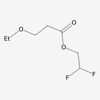 CCOCCC(=O)OCC(F)F